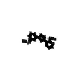 CSc1ncccc1-c1cn(-c2cccc(C(=O)O)c2)cn1